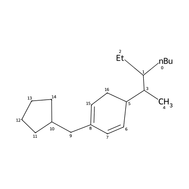 CCCCC(CC)C(C)C1C=CC(CC2CCCC2)=CC1